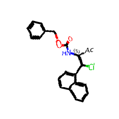 CC(=O)[C@H](NC(=O)OCc1ccccc1)C(Cl)c1cccc2ccccc12